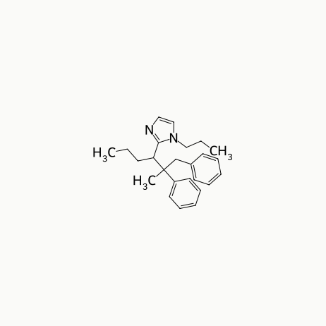 CCCC(c1nccn1CCC)C(C)(Cc1ccccc1)c1ccccc1